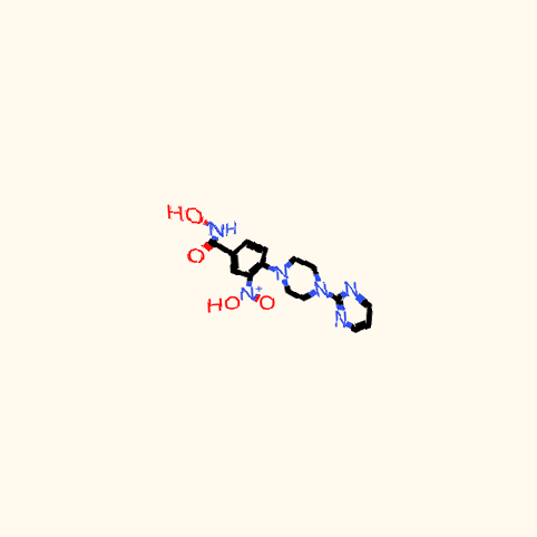 O=C(NO)c1ccc(N2CCN(c3ncccn3)CC2)c([N+](=O)O)c1